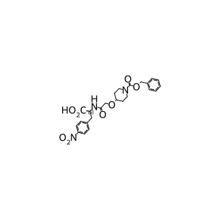 O=C(COC1CCN(C(=O)OCc2ccccc2)CC1)N[C@@H](Cc1ccc([N+](=O)[O-])cc1)C(=O)O